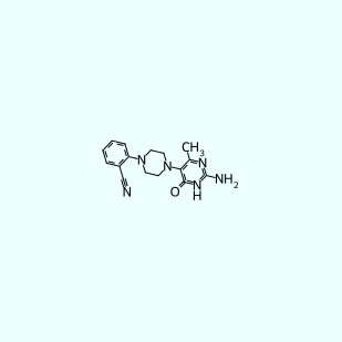 Cc1nc(N)[nH]c(=O)c1N1CCN(c2ccccc2C#N)CC1